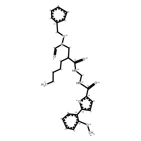 CCCCCC(CN(C=O)OCc1ccccc1)C(=O)NCNC(=O)c1ccc(-c2ccccc2OC)o1